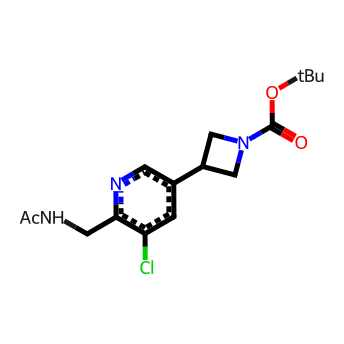 CC(=O)NCc1ncc(C2CN(C(=O)OC(C)(C)C)C2)cc1Cl